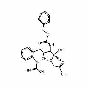 CC(=N)Nc1ccccc1CC(C)C(NC(=O)OCc1ccccc1)P(=O)(O)OCC(=O)O